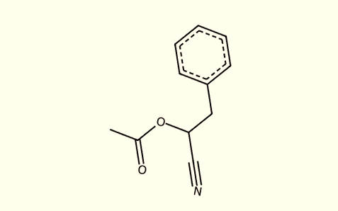 CC(=O)OC(C#N)Cc1ccccc1